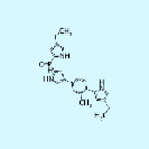 CCc1c[nH]c(-c2ccc(-c3c[nH]c([PH](=O)c4cc(CC)c[nH]4)c3)cc2C)c1